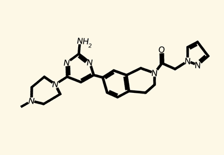 CN1CCN(c2cc(-c3ccc4c(c3)CN(C(=O)Cn3cccn3)CC4)nc(N)n2)CC1